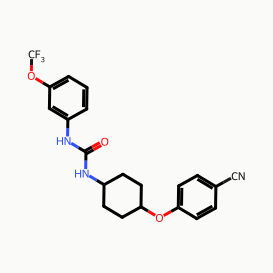 N#Cc1ccc(OC2CCC(NC(=O)Nc3cccc(OC(F)(F)F)c3)CC2)cc1